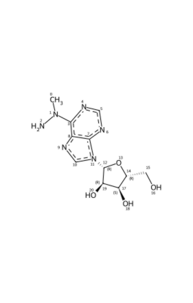 CN(N)c1ncnc2c1ncn2[C@@H]1O[C@H](CO)[C@@H](O)[C@H]1O